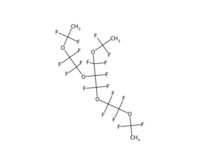 CC(F)(F)OC(F)(F)C(F)(F)OC(F)(F)C(F)(OC(F)(F)C(F)(F)OC(C)(F)F)C(F)(F)OC(C)(F)F